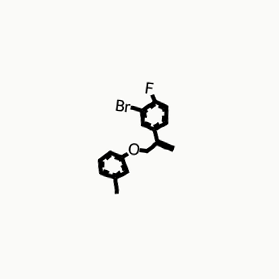 C=C(COc1cccc(C)c1)c1ccc(F)c(Br)c1